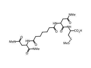 CNC(=O)CC(NC(=O)CCCCCC(=O)NC(CC(=O)NC)C(=O)NC(CSSC)C(=O)O)C(=O)NC